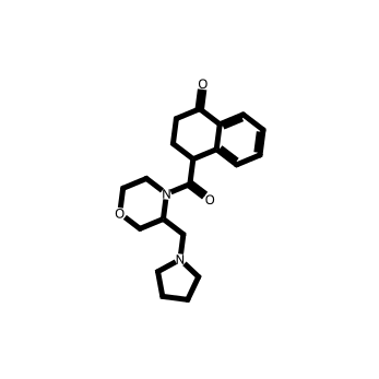 O=C1CCC(C(=O)N2CCOCC2CN2CCCC2)c2ccccc21